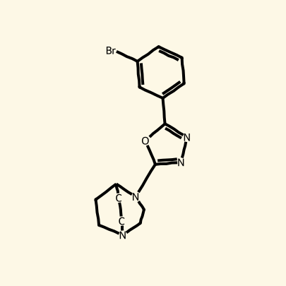 Brc1cccc(-c2nnc(N3CCN4CCC3CC4)o2)c1